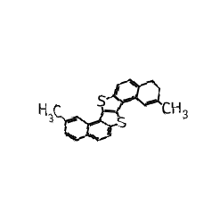 CC1=Cc2c(ccc3sc4c(sc5ccc6ccc(C)cc6c54)c23)CC1